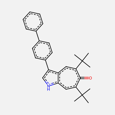 CC(C)(C)c1cc2[nH]cc(-c3ccc(-c4ccccc4)cc3)c2cc(C(C)(C)C)c1=O